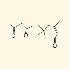 CC(=O)CC(C)=O.CC1=CC(=O)CC(C)(C)C1